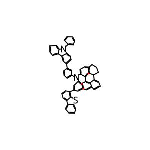 c1ccc(-n2c3ccccc3c3cc(-c4cccc(N(c5cccc(-c6cccc7c6sc6ccccc67)c5)c5ccccc5-c5cccc6cccc(C7CCCCC7)c56)c4)ccc32)cc1